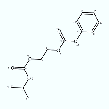 CC(F)OC(=O)OCCOC(=O)Oc1ccccc1